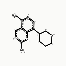 Nc1ncc2c(N)ncc(C3CCCOC3)c2n1